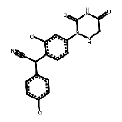 N#CC(c1ccc(Cl)cc1)c1ccc(N2NCC(=O)NC2=O)cc1Cl